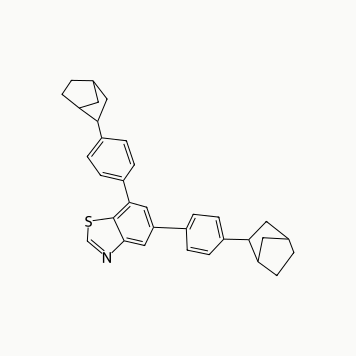 c1nc2cc(-c3ccc(C4CC5CCC4C5)cc3)cc(-c3ccc(C4CC5CCC4C5)cc3)c2s1